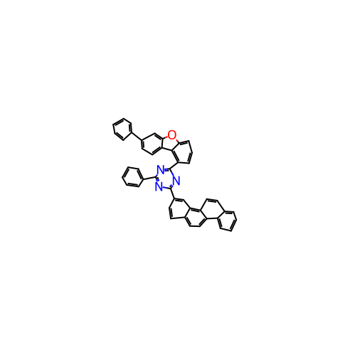 c1ccc(-c2ccc3c(c2)oc2cccc(-c4nc(-c5ccccc5)nc(-c5ccc6ccc7c8ccccc8ccc7c6c5)n4)c23)cc1